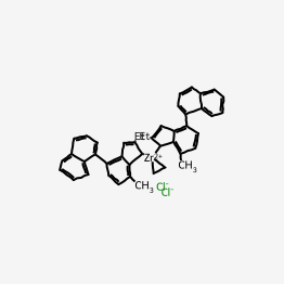 CCC1=Cc2c(-c3cccc4ccccc34)ccc(C)c2[CH]1[Zr+2]1([CH]2C(CC)=Cc3c(-c4cccc5ccccc45)ccc(C)c32)[CH2][CH2]1.[Cl-].[Cl-]